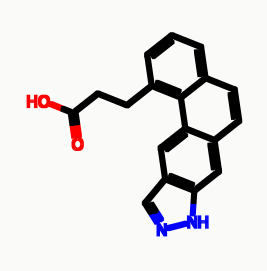 O=C(O)CCc1cccc2ccc3cc4[nH]ncc4cc3c12